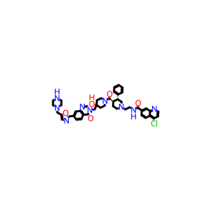 O=C(NCCN1CC[C@@H](C(=O)N2CCC(O)(Cn3cnc4cc(-c5ncc(CN6CCNCC6)o5)ccc4c3=O)CC2)[C@H](c2ccccc2)C1)c1ccc2c(Cl)ccnc2c1